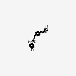 O=C(Nc1ccc(Cl)cc1)OCCc1ccc(CCc2c[nH]cn2)cc1